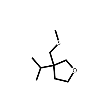 CSCC1(C(C)C)CCOC1